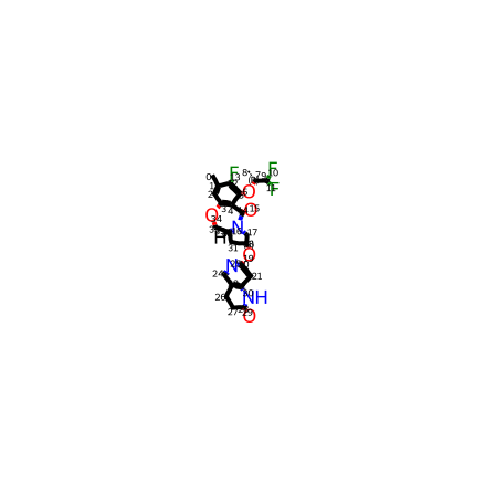 Cc1cc2c(c(O[C@H](C)C(F)F)c1F)C(=O)N1C[C@@H](Oc3cc4c(cn3)CCC(=O)N4)C[C@@H]1CO2